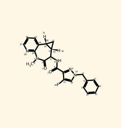 CN1C(=O)C(NC(=O)c2nn(Cc3ccccc3)cc2F)[C@H]2C[C@H]2c2cccnc21